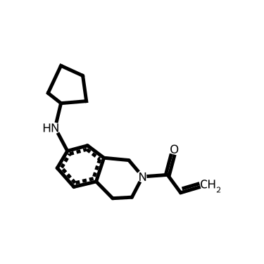 C=CC(=O)N1CCc2ccc(NC3CCCC3)cc2C1